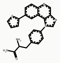 NC(=O)C(N)Cc1ccc(-n2cnc3cnc4ccc(-c5cccs5)cc4c32)cc1